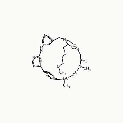 COCCOCC1CN2CCN1Cc1cccc(c1)Nc1nccc(n1)-c1ccc(nc1)N(C)CCCN(C)C(=O)C2